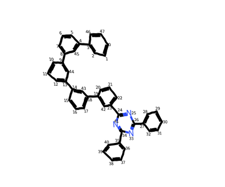 c1ccc(-c2cccc(-c3cccc(-c4cccc(-c5cccc(-c6nc(-c7ccccc7)nc(-c7ccccc7)n6)c5)c4)c3)c2)cc1